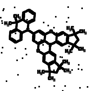 CC1(C)CC(C)(C)c2cc3c(cc21)Oc1cc(N2c4ccccc4C(C)(C)c4ccccc42)cc2c1B3c1cc3c(cc1O2)C(C)(C)CC3(C)C